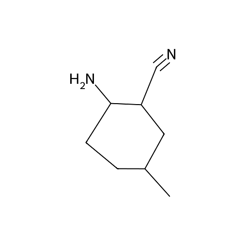 CC1CCC(N)C(C#N)C1